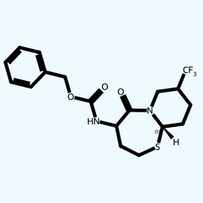 O=C(NC1CCS[C@H]2CCC(C(F)(F)F)CN2C1=O)OCc1ccccc1